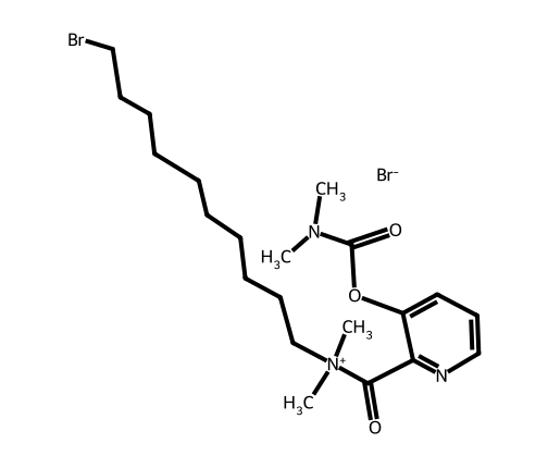 CN(C)C(=O)Oc1cccnc1C(=O)[N+](C)(C)CCCCCCCCCCBr.[Br-]